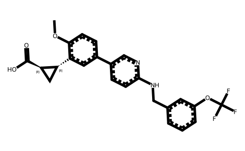 COc1ccc(-c2ccc(NCc3cccc(OC(F)(F)F)c3)nc2)cc1[C@@H]1C[C@H]1C(=O)O